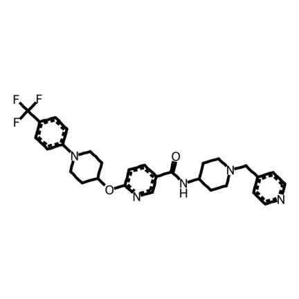 O=C(NC1CCN(Cc2ccncc2)CC1)c1ccc(OC2CCN(c3ccc(C(F)(F)F)cc3)CC2)nc1